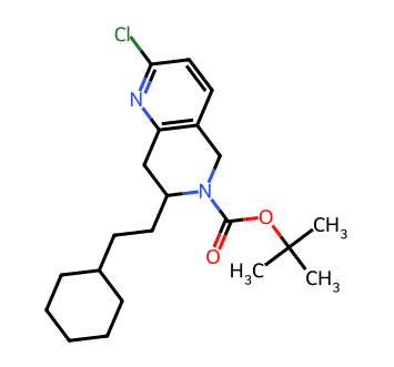 CC(C)(C)OC(=O)N1Cc2ccc(Cl)nc2CC1CCC1CCCCC1